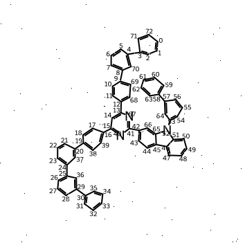 c1ccc(-c2cccc(-c3ccc(-c4cc(-c5ccc(-c6cccc(-c7cccc(-c8ccccc8)c7)c6)cc5)nc(-c5ccc6c7ccccc7n(-c7cccc(-c8ccccc8)c7)c6c5)n4)cc3)c2)cc1